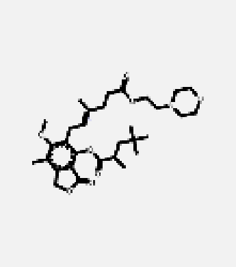 COc1c(C)c2c(c(OC(=O)C(C)CC(C)(C)C)c1C/C=C(\C)CCC(=O)OCCN1CCOCC1)C(=O)OC2